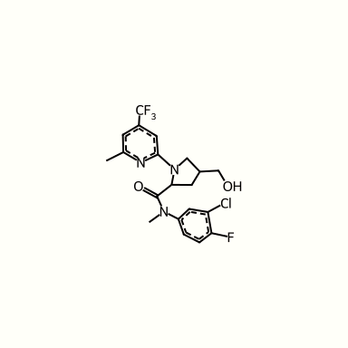 Cc1cc(C(F)(F)F)cc(N2CC(CO)CC2C(=O)N(C)c2ccc(F)c(Cl)c2)n1